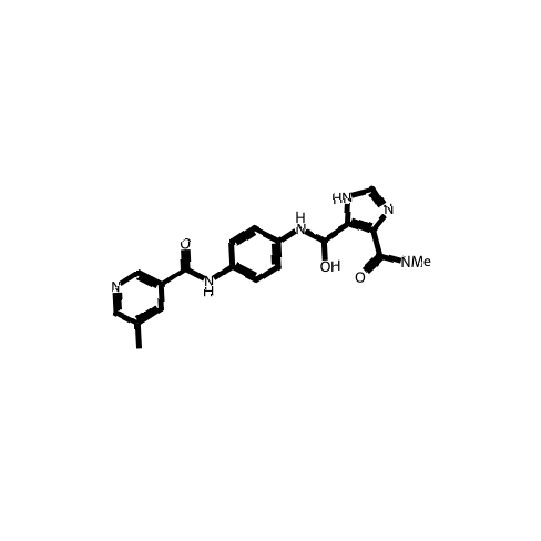 CNC(=O)c1nc[nH]c1C(O)Nc1ccc(NC(=O)c2cncc(C)c2)cc1